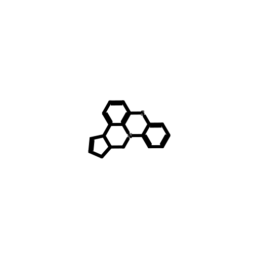 C1=CC2c3cccc4c3N(CC2C1)c1ccccc1S4